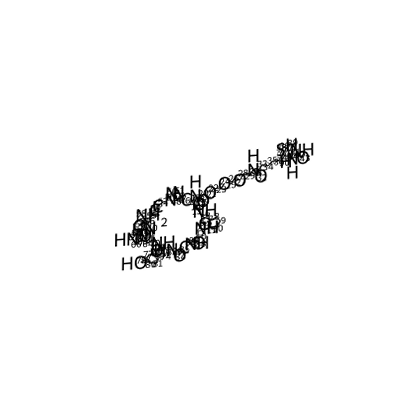 C[C@@H]1NC(=O)[C@H](Cc2ccccc2)NC(=O)C(NC(=O)COCCOCCOCCNC(=O)CCCC[C@H]2SC[C@H]3NC(=O)N[C@H]32)Cc2cn(nn2)CCCCC(C(N)=O)NC(=O)[C@H](Cc2c[nH]cn2)NC(=O)[C@H](Cc2ccc(O)cc2)NC(=O)CNC1=O